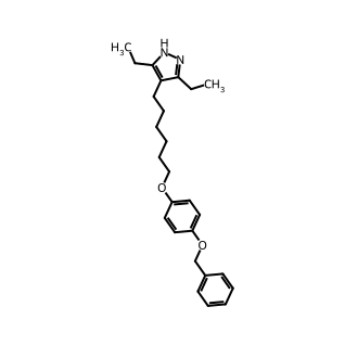 CCc1n[nH]c(CC)c1CCCCCCOc1ccc(OCc2ccccc2)cc1